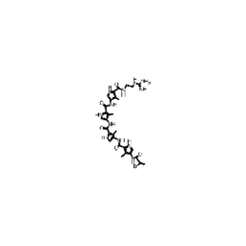 C=C(Br)C(=O)Nc1c[nH]c(C(=O)Nc2c[nH]c(C(=O)Nc3c[nH]c(C(=O)Nc4c[nH]c(C(=O)NCCNC(=N)N)c4C)c3C)c2C)c1C